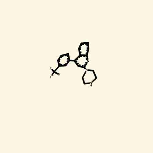 FC(F)(F)c1cccc(-c2cc(N3CCNCC3)nc3ccccc23)c1